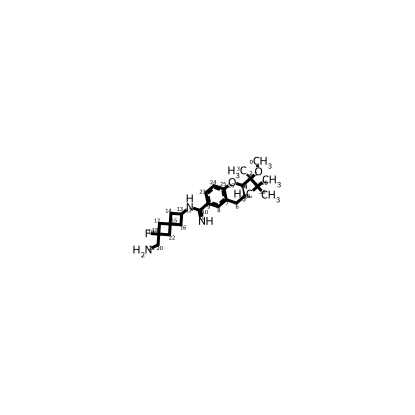 CO[C@@](C)([C@H]1CCc2cc(C(=N)NC3CC4(C3)CC(F)(CN)C4)ccc2O1)C(C)(C)C